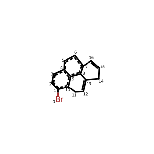 Brc1ccc2ccc3c4c2c1CC=C4CC=C3